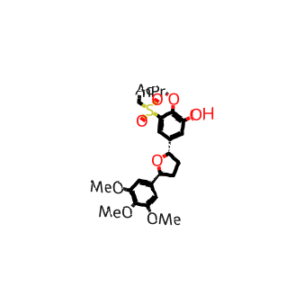 CCCOc1c(O)cc([C@@H]2CC[C@@H](c3cc(OC)c(OC)c(OC)c3)O2)cc1S(=O)(=O)CC(C)=O